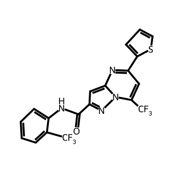 O=C(Nc1ccccc1C(F)(F)F)c1cc2nc(-c3cccs3)cc(C(F)(F)F)n2n1